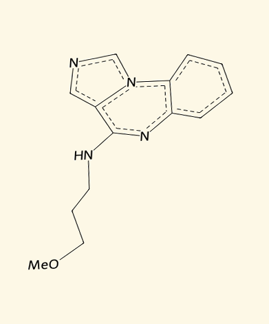 COCCCNc1nc2ccccc2n2cncc12